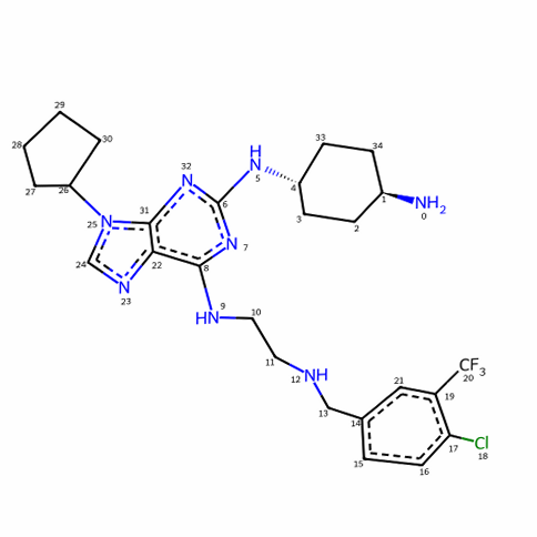 N[C@H]1CC[C@H](Nc2nc(NCCNCc3ccc(Cl)c(C(F)(F)F)c3)c3ncn(C4CCCC4)c3n2)CC1